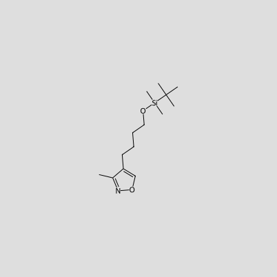 Cc1nocc1CCCCO[Si](C)(C)C(C)(C)C